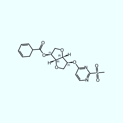 CS(=O)(=O)c1nccc(O[C@H]2CO[C@H]3[C@@H]2OC[C@@H]3OC(=O)C2C=CC=CC2)n1